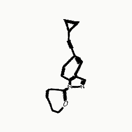 C(#CC1CC1)c1ccc2c(cnn2C2CCCCO2)c1